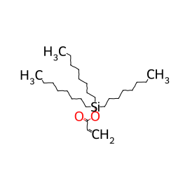 C=CC(=O)O[Si](CCCCCCCC)(CCCCCCCC)CCCCCCCC